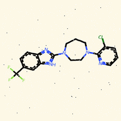 FC(F)(F)c1ccc2nc(N3CCCN(c4ncccc4Cl)CC3)[nH]c2c1